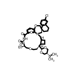 CC[C@@H]1CCCC[C@H]([C@H]2OC[C@@H](N(C)C)CO2)[C@H]2CC[C@H]2CN2C[C@@]3(CCCc4cc(Cl)ccc43)COc3ccc(cc32)C(=O)NS1(=O)=O